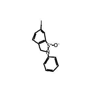 [O-][S+]1c2cc(I)ccc2CN1c1ccccc1